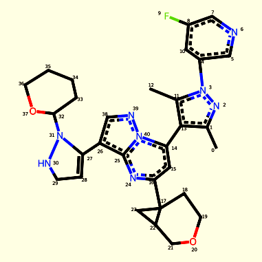 Cc1nn(-c2cncc(F)c2)c(C)c1-c1cc(C23CCOCC2C3)nc2c(C3=CCNN3C3CCCCO3)cnn12